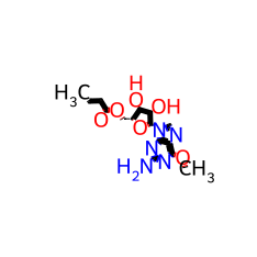 CCCC(=O)OC[C@H]1O[C@@H](n2cnc3c(OC)nc(N)nc32)[C@@H](O)[C@@H]1O